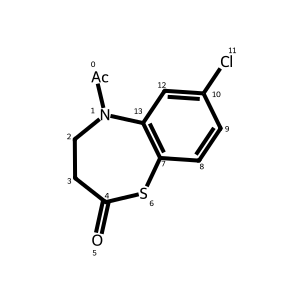 CC(=O)N1CCC(=O)Sc2ccc(Cl)cc21